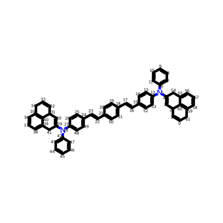 C1=CC2C=C(N(c3ccccc3)c3ccc(C=Cc4ccc(C=Cc5ccc(N(C6=CC7C=CCc8cccc(c87)C6)c6ccccc6)cc5)cc4)cc3)Cc3cccc(c32)C1